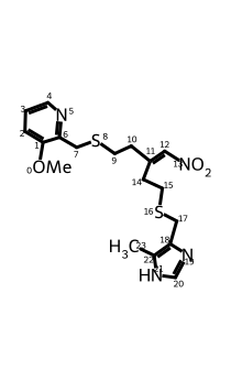 COc1cccnc1CSCCC(=C[N+](=O)[O-])CCSCc1nc[nH]c1C